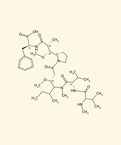 CCC(C)C([C@@H](CC(=O)N1CCC[C@H]1[C@H](OC)[C@@H](C)C(=O)N[C@@H](Cc1ccccc1)C(=O)O)OC)N(C)C(=O)[C@@H](NC(=O)C(NC)C(C)C)C(C)C